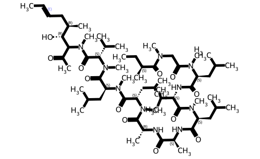 C/C=C/C[C@@H](C)[C@@H](O)C(C(C)=O)N(C)C(=O)[C@H](C(C)C)N(C)C(=O)[C@H](CC(C)C)N(C)C(=O)[C@H](CC(C)C)N(C)C(=O)[C@@H](C)NC(=O)[C@H](C)NC(=O)[C@H](CC(C)C)N(C)C(=O)[C@@H](NC(=O)[C@H](CC(C)C)N(C)C(=O)CN(C)C(=O)[C@@H](C)CC)C(C)C